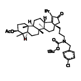 CC(=O)O[C@H]1CC[C@]2(C)[C@H]3CC[C@@H]4C5=C(C(C)C)C(=O)C[C@]5(CCCN(Cc5ccc(Cl)cc5)C(=O)OC(C)(C)C)CC[C@@]4(C)[C@]3(C)CC[C@H]2C1(C)C